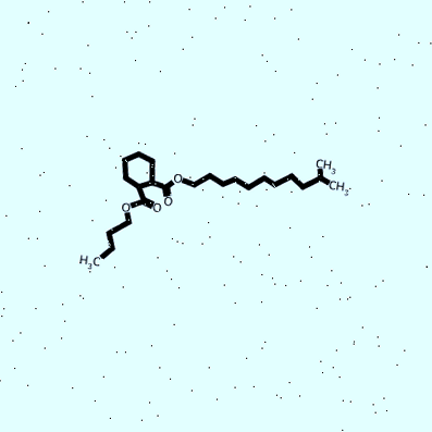 CCCCOC(=O)C1CCCCC1C(=O)OCCCCCCCCCC(C)C